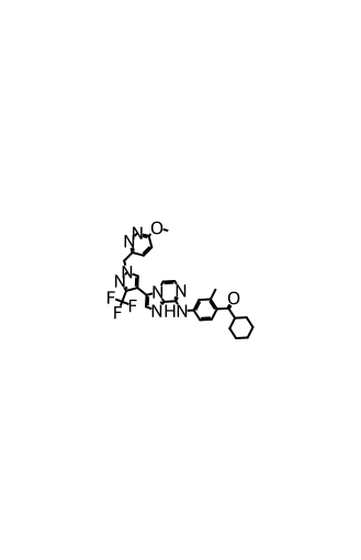 COc1ccc(Cn2cc(-c3cnc4c(Nc5ccc(C(=O)C6CCCCC6)c(C)c5)nccn34)c(C(F)(F)F)n2)nn1